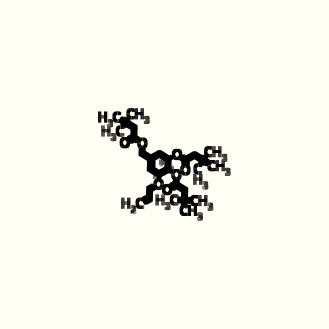 C=CCO[C@H]1C=C(COC(=O)CC(C)(C)C)C[C@@H](OC(=O)CC(C)(C)C)[C@H]1OC(=O)CC(C)(C)C